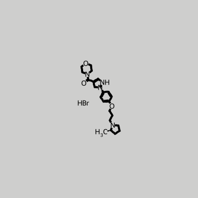 Br.C[C@@H]1CCCN1CCCOc1ccc(N2CC(C(=O)N3CCOCC3)=CN2)cc1